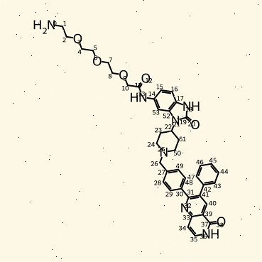 NCCOCCOCCOCC(=O)Nc1ccc2[nH]c(=O)n(C3CCN(Cc4ccc(-c5nc6cc[nH]c(=O)c6cc5-c5ccccc5)cc4)CC3)c2c1